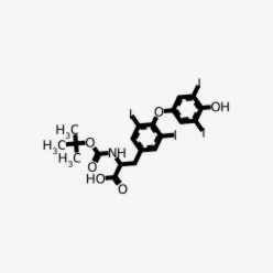 CC(C)(C)OC(=O)NC(Cc1cc(I)c(Oc2cc(I)c(O)c(I)c2)c(I)c1)C(=O)O